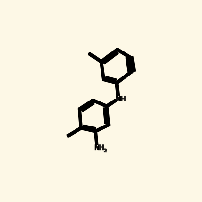 Cc1cc#cc(Nc2ccc(C)c(N)c2)c1